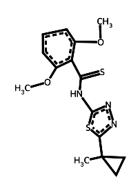 COc1cccc(OC)c1C(=S)Nc1nnc(C2(C)CC2)s1